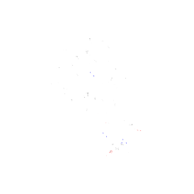 CN1C(=O)C(=Cc2cc3c4c(c2)C(C)(C)c2cccc5c2N4c2c(cccc2C3(C)C)C5(C)C)C(=O)N(C)C1=O